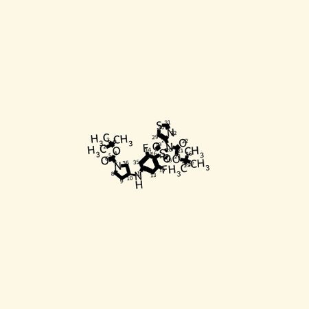 CC(C)(C)OC(=O)N1CC[C@H](Nc2cc(F)c(S(=O)(=O)N(C(=O)OC(C)(C)C)c3cscn3)c(F)c2)C1